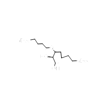 CCCCCCCCCCCCCCOC(CCCCCCCCCCCCCC)C(O)CO